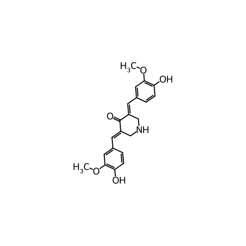 COc1cc(/C=C2\CNC/C(=C\c3ccc(O)c(OC)c3)C2=O)ccc1O